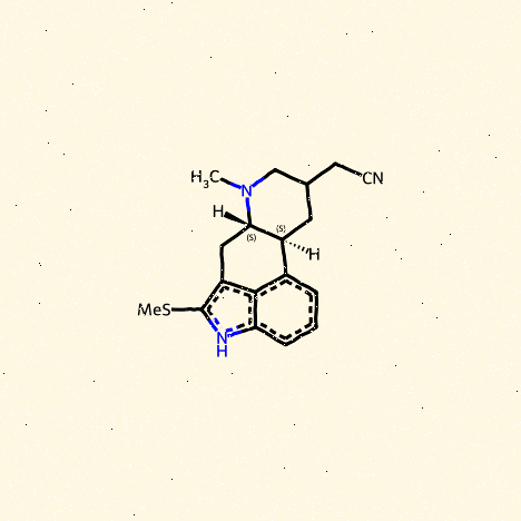 CSc1[nH]c2cccc3c2c1C[C@H]1[C@H]3CC(CC#N)CN1C